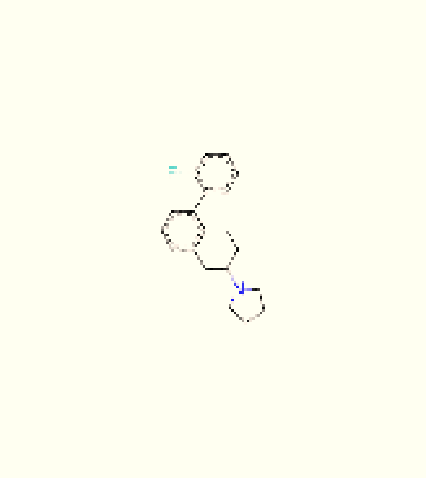 Fc1ccccc1-c1cccc2c1CCC(N1CCCC1)C2